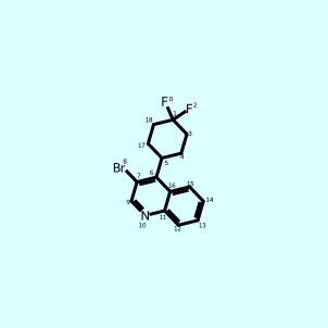 FC1(F)CCC(c2c(Br)cnc3ccccc23)CC1